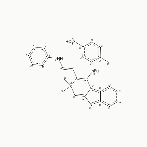 CCCCC1=C(C=CNc2ccccc2)C(C)(C)C=C2N=c3ccccc3=C21.Cc1ccc(S(=O)(=O)O)cc1